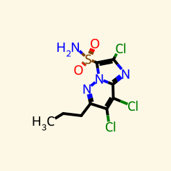 CCCc1nn2c(S(N)(=O)=O)c(Cl)nc2c(Cl)c1Cl